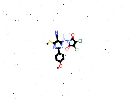 COc1ccc(-c2nc(NN3C(=O)C(Cl)=C(Cl)C3=O)c(C#N)c(SC)n2)cc1